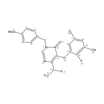 COc1ccc(Cn2cnc(C(C)F)c(Oc3cc(Cl)cc(C#N)c3F)c2=O)cc1